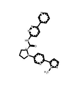 Cn1nccc1-c1ccc(N2CCC[C@H]2C(=O)Nc2ccc(-c3cccnc3)nn2)cn1